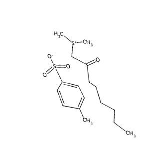 CCCCCCC(=O)C[S+](C)C.Cc1ccc(S(=O)(=O)[O-])cc1